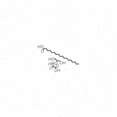 CCCCCCCCCCCCCCCCCC(=O)O.O=C(O)C(=O)O.OCC(O)CO